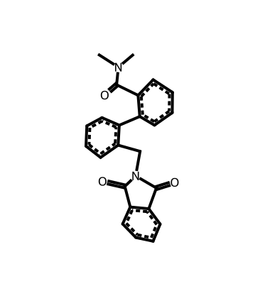 CN(C)C(=O)c1ccccc1-c1ccccc1CN1C(=O)c2ccccc2C1=O